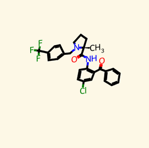 C[C@]1(C(=O)Nc2ccc(Cl)cc2C(=O)c2ccccc2)CCCN1Cc1ccc(C(F)(F)F)cc1